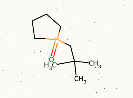 CC(C)(C)CP1(=O)CCCC1